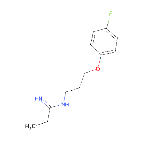 CCC(=N)NCCCOc1ccc(F)cc1